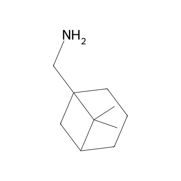 CC1(C)C2CCCC1(CN)C2